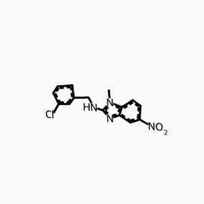 Cn1c(NCc2cccc(Cl)c2)nc2cc([N+](=O)[O-])ccc21